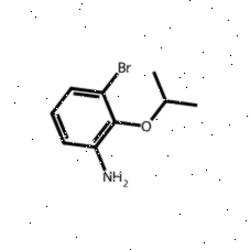 CC(C)Oc1c(N)cccc1Br